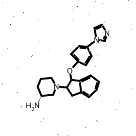 N[C@@H]1CCCN(C2Cc3ccccc3C2Oc2ccc(-n3ccnc3)cc2)C1